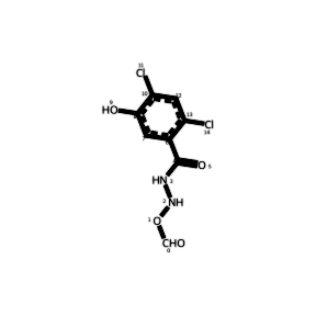 O=CONNC(=O)c1cc(O)c(Cl)cc1Cl